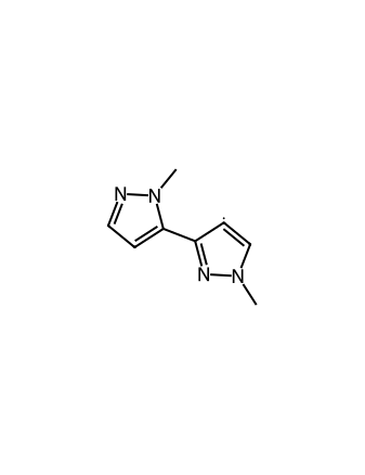 Cn1c[c]c(-c2ccnn2C)n1